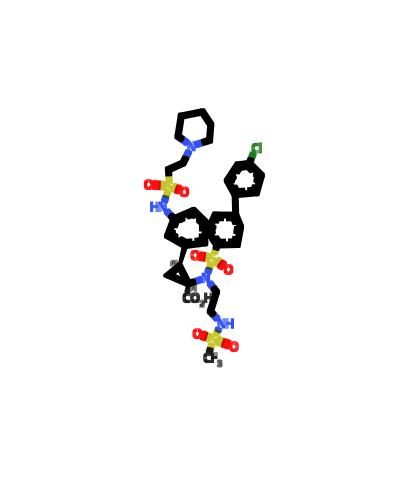 O=C(O)[C@@]1(N(CCNS(=O)(=O)C(F)(F)F)S(=O)(=O)c2ccc(-c3ccc(Cl)cc3)cc2)C[C@H]1c1cccc(NS(=O)(=O)CCN2CCCCC2)c1